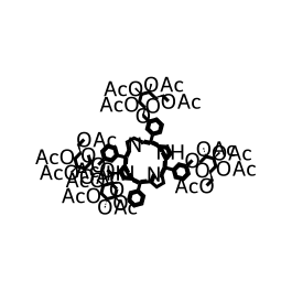 CC(=O)OC[C@H]1O[C@@H](Oc2cccc(-c3c4nc(c(-c5cccc(O[C@@H]6O[C@H](COC(C)=O)[C@H](OC(C)=O)[C@H](OC(C)=O)[C@H]6OC(C)=O)c5)c5ccc([nH]5)c(-c5cccc(O[C@@H]6O[C@H](COC(C)=O)[C@H](OC(C)=O)[C@H](OC(C)=O)[C@H]6OC(C)=O)c5)c5nc(c(-c6cccc(O[C@@H]7O[C@H](COC(C)=O)[C@H](OC(C)=O)[C@H](OC(C)=O)[C@H]7OC(C)=O)c6)c6ccc3[nH]6)CC5)CC4)c2)[C@H](OC(C)=O)[C@@H](OC(C)=O)[C@H]1OC(C)=O